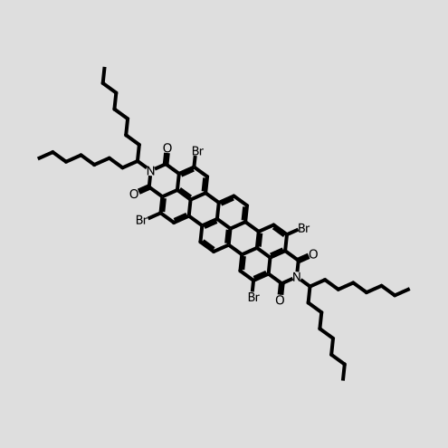 CCCCCCCC(CCCCCCC)N1C(=O)c2c(Br)cc3c4ccc5c6cc(Br)c7c8c(c(Br)cc(c9ccc(c%10cc(Br)c(c2c3%10)C1=O)c4c59)c86)C(=O)N(C(CCCCCCC)CCCCCCC)C7=O